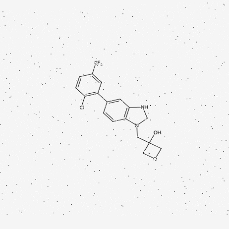 OC1(CN2CNc3cc(-c4cc(C(F)(F)F)ccc4Cl)ccc32)COC1